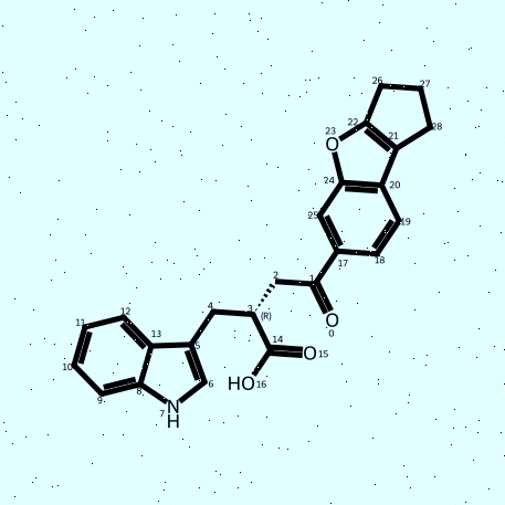 O=C(C[C@@H](Cc1c[nH]c2ccccc12)C(=O)O)c1ccc2c3c(oc2c1)CCC3